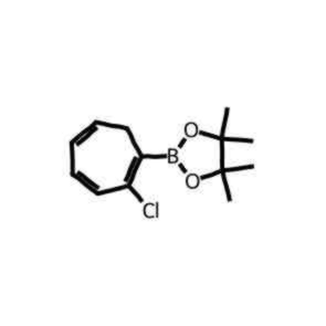 CC1(C)OB(C2=C(Cl)C=CC=CC2)OC1(C)C